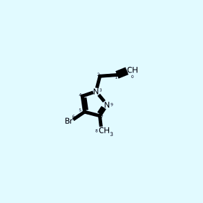 C#CCn1cc(Br)c(C)n1